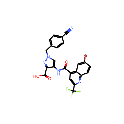 N#Cc1ccc(Cn2cc(NC(=O)c3cc(C(F)(F)F)nc4ccc(Br)cc34)c(C(=O)O)n2)cc1